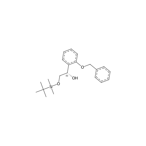 CC(C)(C)[Si](C)(C)OC[C@@H](O)c1ccccc1OCc1ccccc1